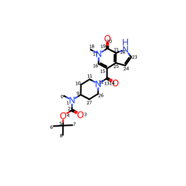 CN(C(=O)OC(C)(C)C)C1CCN(C(=O)c2cn(C)c(=O)c3[nH]ccc23)CC1